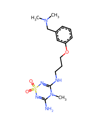 CN(C)Cc1cccc(OCCCNC2=NS(=O)(=O)N=C(N)N2C)c1